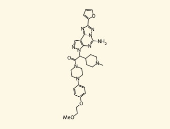 COCCOc1ccc(N2CCN(C(=O)C(C3CCN(C)CC3)n3ncc4c3nc(N)n3nc(-c5ccco5)nc43)CC2)cc1